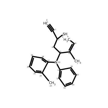 C#CC(S)CC(/C(C)=C\C)N(c1ccccc1)c1ccccc1C